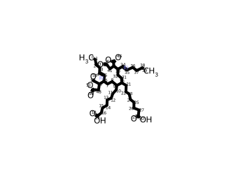 CCCC/C=C/C(CCC(CCCCCCCC(=O)O)C(CCCCCCCC(=O)O)CCC(/C=C/CCCC)C1CC(=O)OC1=O)C1CC(=O)OC1=O